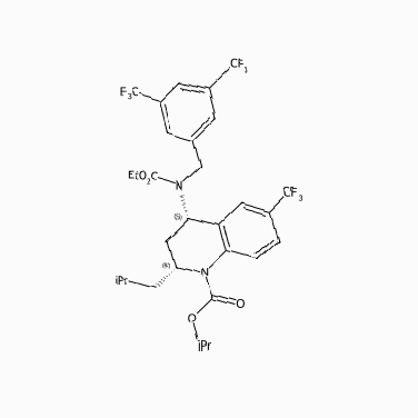 CCOC(=O)N(Cc1cc(C(F)(F)F)cc(C(F)(F)F)c1)[C@H]1C[C@@H](CC(C)C)N(C(=O)OC(C)C)c2ccc(C(F)(F)F)cc21